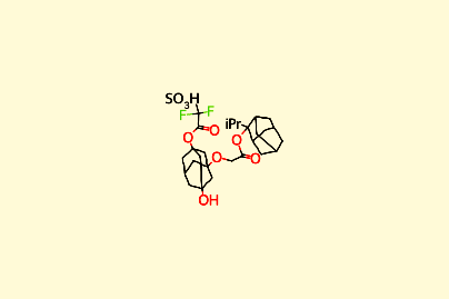 CC(C)C1(OC(=O)COC23CC4CC(O)(C2)CC(OC(=O)C(F)(F)S(=O)(=O)O)(C4)C3)C2CC3CC(C2)CC1C3